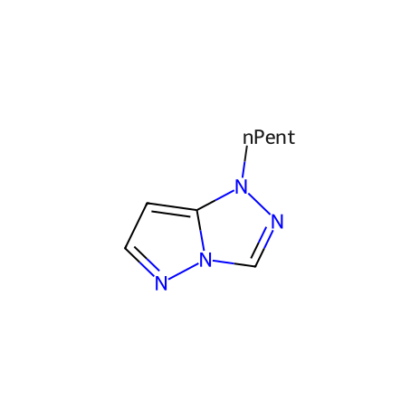 CCCCCn1ncn2nccc12